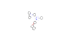 c1ccc(-c2nc(-c3cccc(-n4c5ccccc5c5ccccc54)c3)nc(-c3ccc4c(c3)oc3ccc5ccccc5c34)n2)cc1